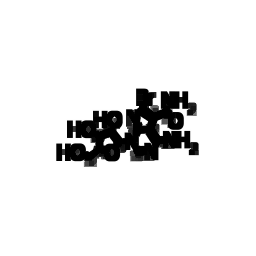 NC(=O)c1c(Br)nc2n([C@H]3O[C@@H](CO)[C@@H](O)[C@@H]3O)cnc(N)c1-2